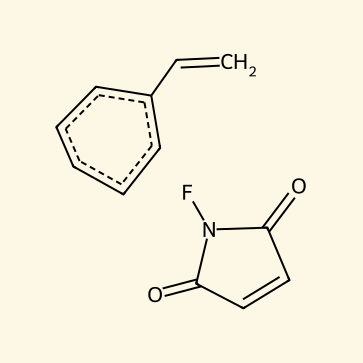 C=Cc1ccccc1.O=C1C=CC(=O)N1F